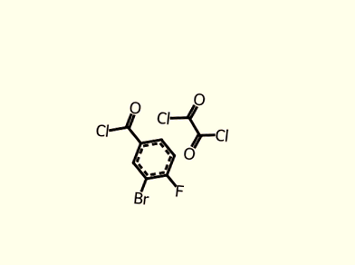 O=C(Cl)C(=O)Cl.O=C(Cl)c1ccc(F)c(Br)c1